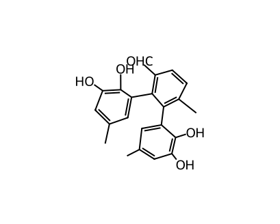 Cc1cc(O)c(O)c(-c2c(C)ccc(C=O)c2-c2cc(C)cc(O)c2O)c1